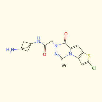 CC(C)c1nn(CC(=O)NC23CC(N)(C2)C3)c(=O)c2cc3sc(Cl)cc3n12